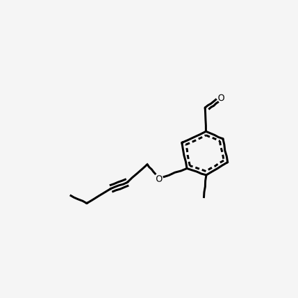 CCC#CCOc1cc(C=O)ccc1C